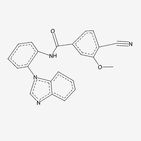 COc1cc(C(=O)Nc2ccccc2-n2cnc3ccccc32)ccc1C#N